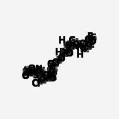 Cc1ccc(NC(=O)C2(c3ccc4c(c3)OC(F)(F)O4)CC2)nc1-c1cccc(C(=O)NCCOCCOCC(=O)N2CCN(C(=O)[C@H]3Cc4cc(Cl)cc(-c5ccnc6cc(CN7C(=O)CCC7=O)sc56)c4O3)CC2)c1